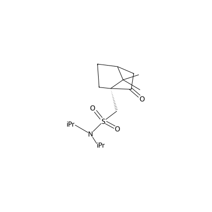 CC(C)N(C(C)C)S(=O)(=O)C[C@@]12CCC(CC1=O)C2(C)C